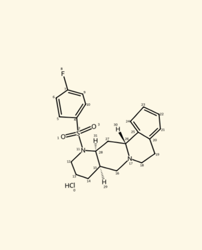 Cl.O=S(=O)(c1ccc(F)cc1)N1CCC[C@@H]2CN3CCc4ccccc4[C@H]3C[C@@H]21